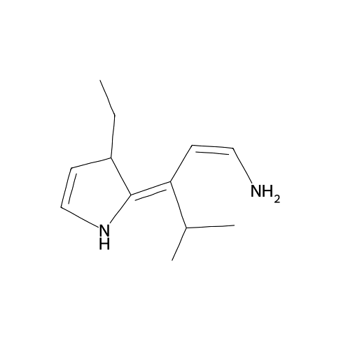 CCC1C=CN/C1=C(/C=C\N)C(C)C